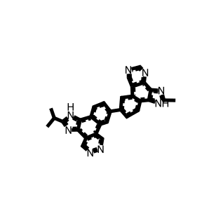 Cc1nc2c3ncncc3c3cc(-c4ccc5c(c4)c4cnncc4c4nc(C(C)C)[nH]c54)ccc3c2[nH]1